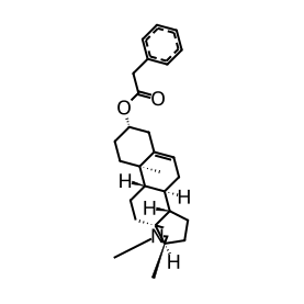 C[C@H]1[C@H]2CC[C@H]3[C@@H]4CC=C5C[C@@H](OC(=O)Cc6ccccc6)CC[C@]5(C)[C@H]4CC[C@]23CN1C